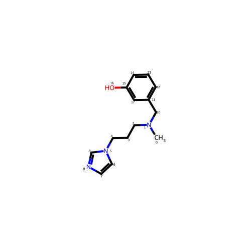 CN(CCCn1ccnc1)Cc1cccc(O)c1